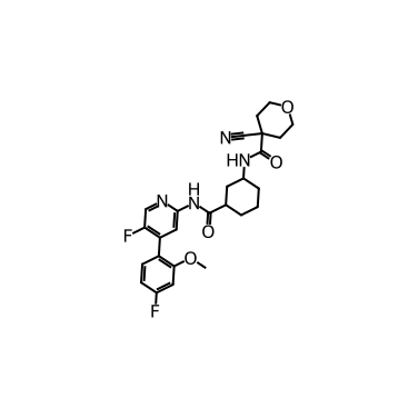 COc1cc(F)ccc1-c1cc(NC(=O)C2CCCC(NC(=O)C3(C#N)CCOCC3)C2)ncc1F